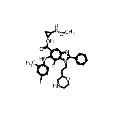 CONC1CC1.Cc1cc(I)ccc1Nc1c(C(=O)O)cc2nc(-c3ccccc3)n(CCC3CNCCO3)c2c1F